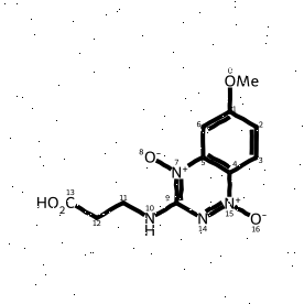 COc1ccc2c(c1)[n+]([O-])c(NCCC(=O)O)n[n+]2[O-]